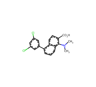 CN(C)c1c(C(=O)O)ccc2c(-c3cc(Cl)cc(Cl)c3)cccc12